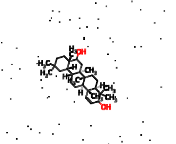 CC1(C)CC[C@]2(C)C(O)C[C@]3(C)[C@H](CC[C@@H]4[C@@]5(C)C=CC(O)C(C)(C)[C@@H]5CC[C@]43C)[C@@H]2C1